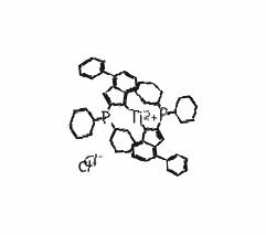 C1=C(P(C2CCCCC2)C2CCCCC2)[CH]([Ti+2][CH]2C(P(C3CCCCC3)C3CCCCC3)=Cc3c(-c4ccccc4)cccc32)c2cccc(-c3ccccc3)c21.[Cl-].[Cl-]